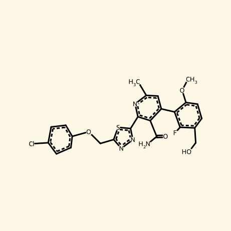 COc1ccc(CO)c(F)c1-c1cc(C)nc(-c2nnc(COc3ccc(Cl)cc3)s2)c1C(N)=O